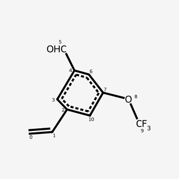 C=Cc1cc(C=O)cc(OC(F)(F)F)c1